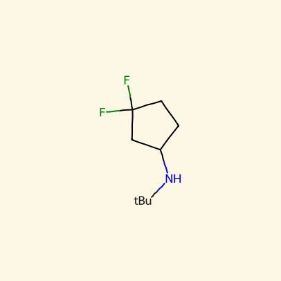 CC(C)(C)NC1CCC(F)(F)C1